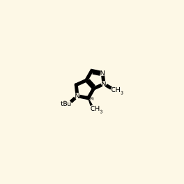 C[C@@H]1c2c(cnn2C)CN1C(C)(C)C